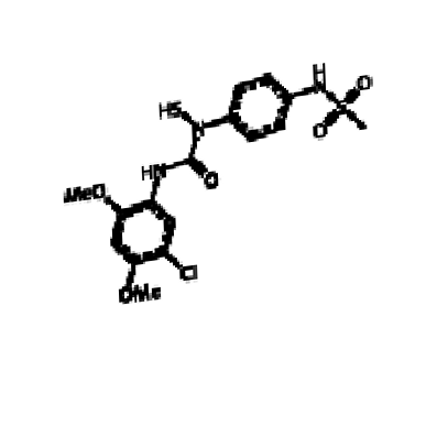 COc1cc(OC)c(NC(=O)N(S)c2ccc(NS(C)(=O)=O)cc2)cc1Cl